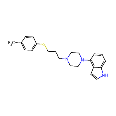 FC(F)(F)c1ccc(SCCCN2CCN(c3cccc4[nH]ccc34)CC2)cc1